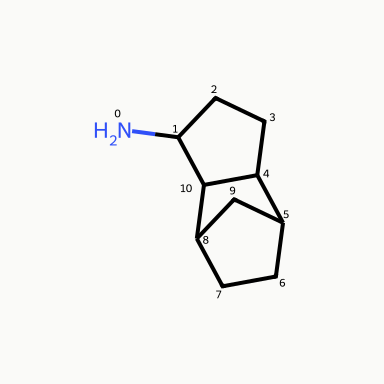 NC1CCC2C3CCC(C3)C12